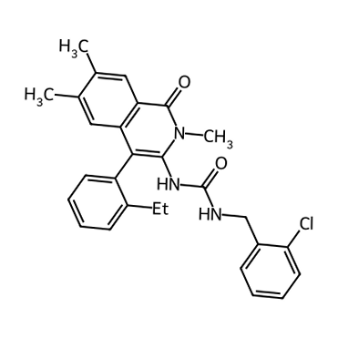 CCc1ccccc1-c1c(NC(=O)NCc2ccccc2Cl)n(C)c(=O)c2cc(C)c(C)cc12